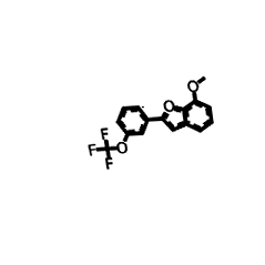 COc1cccc2cc(-c3[c]ccc(OC(F)(F)F)c3)oc12